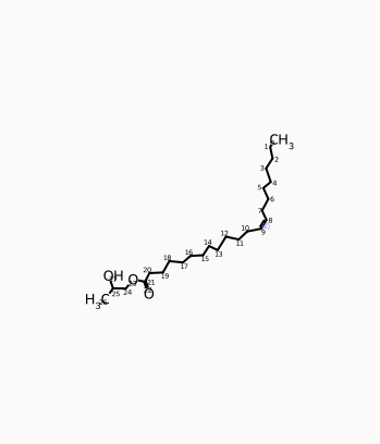 CCCCCCCC/C=C\CCCCCCCCCCCC(=O)OCC(C)O